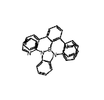 c1ccc(-c2cccc(-c3ccccc3)c2B2N(c3ccccn3)c3ccccc3N2c2ccccn2)cc1